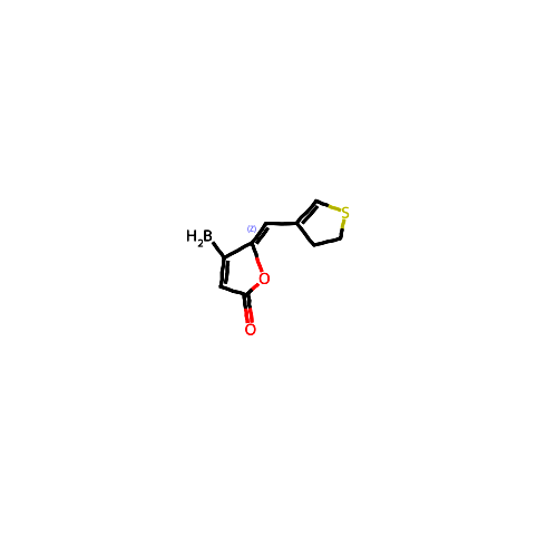 BC1=CC(=O)O/C1=C\C1=CSCC1